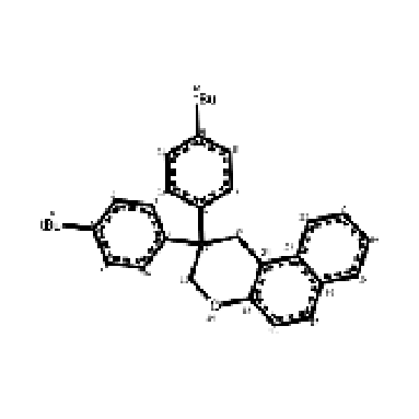 CC(C)(C)c1ccc(C2(c3ccc(C(C)(C)C)cc3)COc3ccc4ccccc4c3C2)cc1